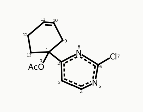 CC(=O)OC1(c2ccnc(Cl)n2)CC=CCC1